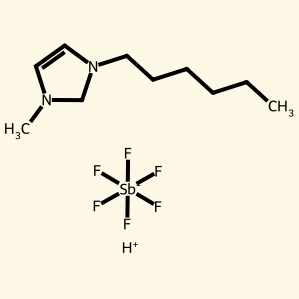 CCCCCCN1C=CN(C)C1.[F][Sb-]([F])([F])([F])([F])[F].[H+]